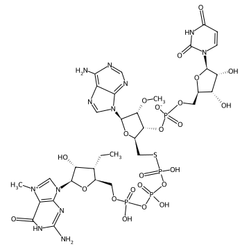 CC[C@H]1[C@@H](O)[C@H](n2c[n+](C)c3c(=O)[nH]c(N)nc32)O[C@@H]1COP(=O)(O)OP(=O)(O)OP(=O)(O)SC[C@H]1O[C@@H](n2cnc3c(N)ncnc32)[C@H](OC)[C@@H]1OP(=O)([O-])OC[C@H]1O[C@@H](n2ccc(=O)[nH]c2=O)[C@H](O)[C@@H]1O